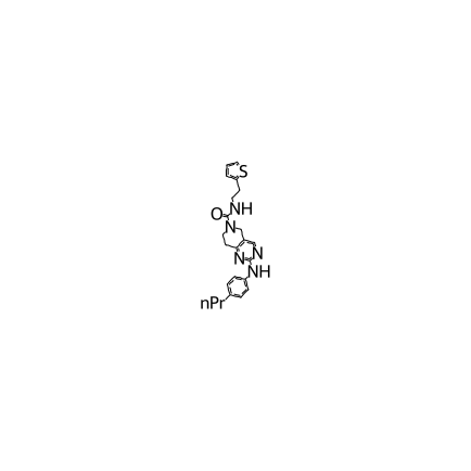 CCCc1ccc(Nc2ncc3c(n2)CCN(C(=O)NCCc2cccs2)C3)cc1